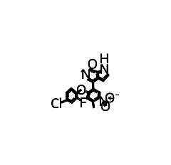 Cc1cc(Oc2ccc(Cl)cc2F)c(-c2cn(C)c(=O)c3[nH]ccc23)cc1[N+](=O)[O-]